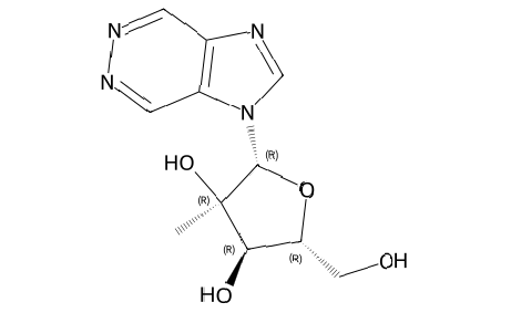 C[C@@]1(O)[C@H](O)[C@@H](CO)O[C@H]1n1cnc2cnncc21